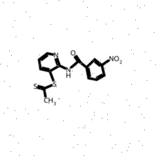 CC(=S)Sc1cccnc1NC(=O)c1cccc([N+](=O)[O-])c1